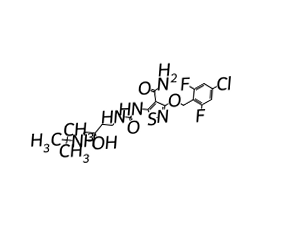 CC(C)(C)NCC(O)CCNC(=O)Nc1snc(OCc2c(F)cc(Cl)cc2F)c1C(N)=O